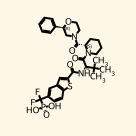 CC(C)(C)[C@H](NC(=O)c1cc2cc(C(F)(F)P(=O)(O)O)ccc2s1)C(=O)N1CCCC[C@H]1C(=O)N1CCO[C@H](c2ccccc2)C1